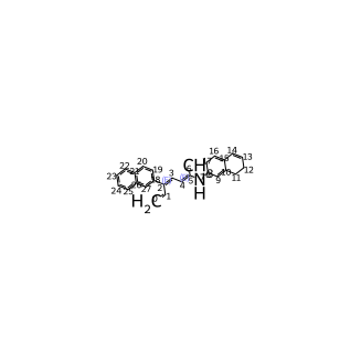 C=C/C(=C\C=C(/C)NC1C=C2CCC=CC2=CC1)c1ccc2ccccc2c1